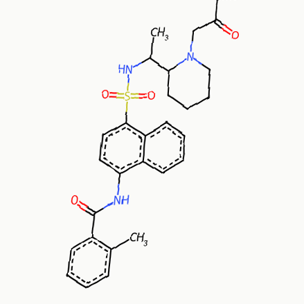 COC(=O)CN1CCCCC1C(C)NS(=O)(=O)c1ccc(NC(=O)c2ccccc2C)c2ccccc12